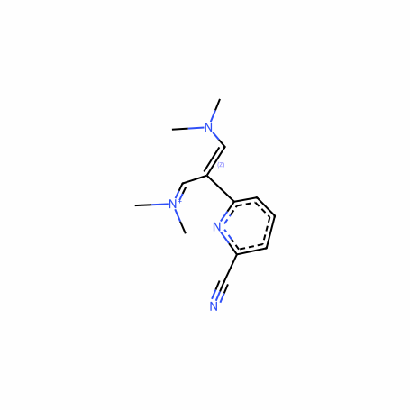 CN(C)/C=C(\C=[N+](C)C)c1cccc(C#N)n1